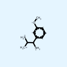 COc1cccc(C(N)C(C)N)c1